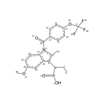 CCC(C(=O)O)c1c(C)n(C(=O)c2ccc(OC(F)(F)F)cc2)c2ccc(OC)cc12